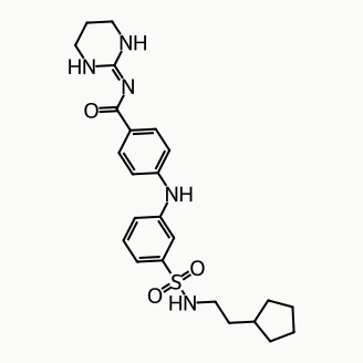 O=C(N=C1NCCCN1)c1ccc(Nc2cccc(S(=O)(=O)NCCC3CCCC3)c2)cc1